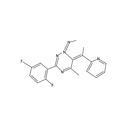 C\N=N/C(C(/C)=N\C(=N/C)c1cc(F)ccc1F)=C(\C)c1ccccn1